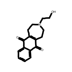 O=C1C2=C(CCN(CCO)CC2)C(=O)c2ccccc21